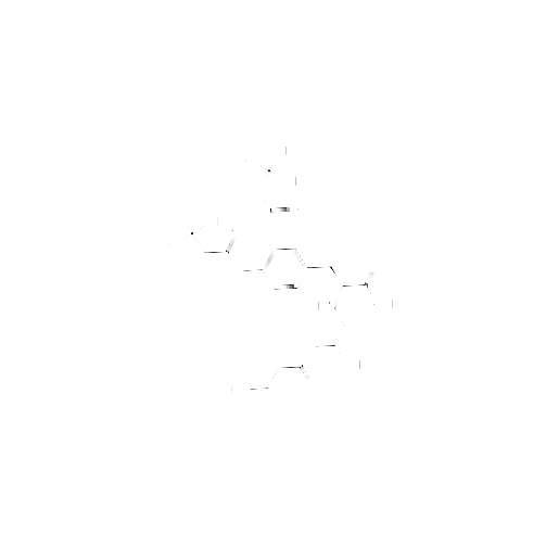 CCCC(=O)OC(C)CN[C@@H](Cc1ccc(OC(=O)CC(C)(C)C)c(OC(=O)CC(C)(C)C)c1)C(=O)O